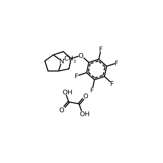 CN1C2CCC1CC(Oc1c(F)c(F)c(F)c(F)c1F)C2.O=C(O)C(=O)O